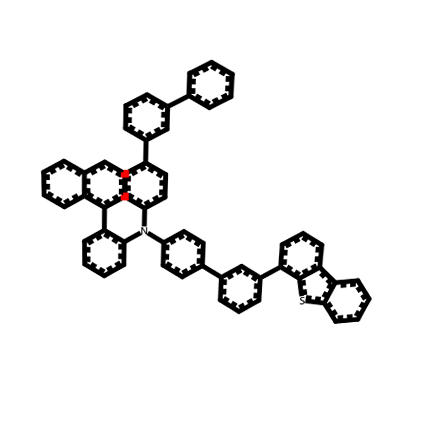 c1ccc(-c2cccc(-c3ccc(N(c4ccc(-c5cccc(-c6cccc7c6sc6ccccc67)c5)cc4)c4ccccc4-c4cccc5ccccc45)cc3)c2)cc1